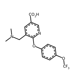 CN(C)Cc1cc(C(=O)O)cnc1Oc1ccc(OC(F)(F)F)cc1